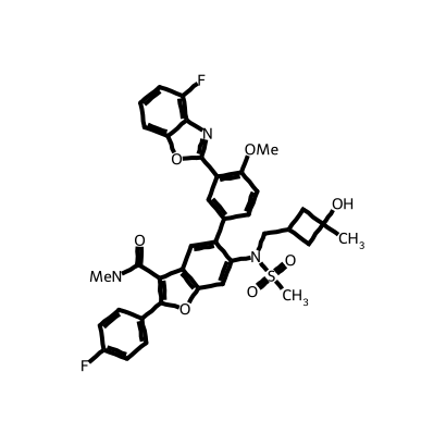 CNC(=O)c1c(-c2ccc(F)cc2)oc2cc(N(CC3CC(C)(O)C3)S(C)(=O)=O)c(-c3ccc(OC)c(-c4nc5c(F)cccc5o4)c3)cc12